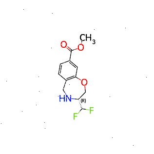 COC(=O)c1ccc2c(c1)OC[C@H](C(F)F)NC2